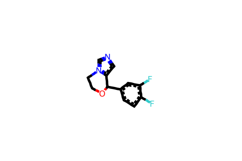 Fc1ccc(C2OCCn3cncc32)cc1F